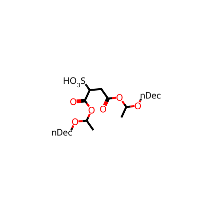 CCCCCCCCCCOC(C)OC(=O)CC(C(=O)OC(C)OCCCCCCCCCC)S(=O)(=O)O